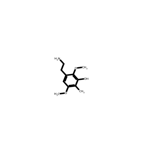 COc1cc(CCN)c(OC)c(O)c1C